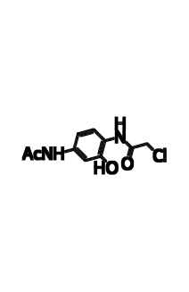 CC(=O)Nc1ccc(NC(=O)CCl)c(O)c1